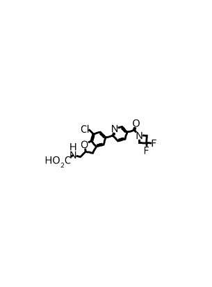 O=C(O)NCC1Cc2cc(-c3ccc(C(=O)N4CC(F)(F)C4)cn3)cc(Cl)c2O1